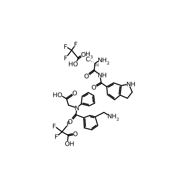 C[C@H](N)C(=O)NC(=O)c1ccc2c(c1)NCC2.NCc1cccc(C(=O)N(CC(=O)O)c2ccccc2)c1.O=C(O)C(F)(F)F.O=C(O)C(F)(F)F